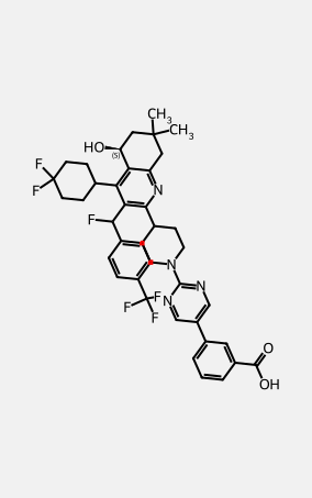 CC1(C)Cc2nc(C3CCN(c4ncc(-c5cccc(C(=O)O)c5)cn4)CC3)c(C(F)c3ccc(C(F)(F)F)cc3)c(C3CCC(F)(F)CC3)c2[C@@H](O)C1